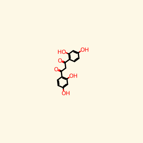 O=C(CC(=O)c1ccc(O)cc1O)c1ccc(O)cc1O